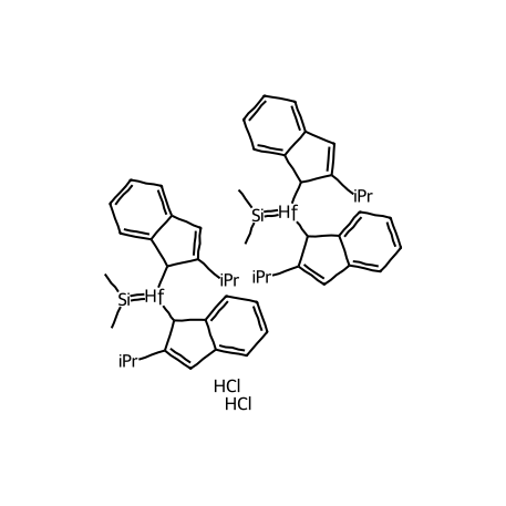 CC(C)C1=Cc2ccccc2[CH]1[Hf]([CH]1C(C(C)C)=Cc2ccccc21)=[Si](C)C.CC(C)C1=Cc2ccccc2[CH]1[Hf]([CH]1C(C(C)C)=Cc2ccccc21)=[Si](C)C.Cl.Cl